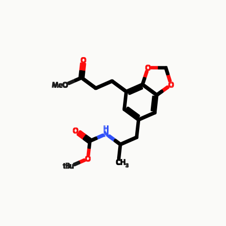 COC(=O)CCc1cc(CC(C)NC(=O)OC(C)(C)C)cc2c1OCO2